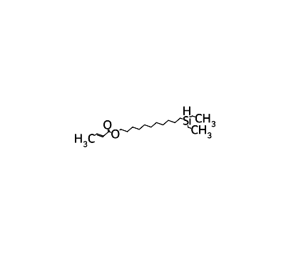 CC=CC(=O)OCCCCCCCCCCC[SiH](CC)CC